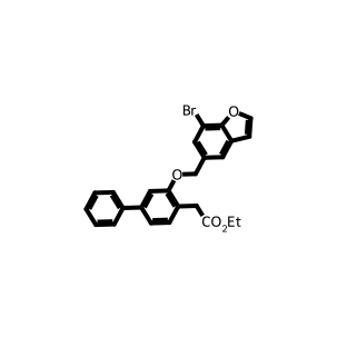 CCOC(=O)Cc1ccc(-c2ccccc2)cc1OCc1cc(Br)c2occc2c1